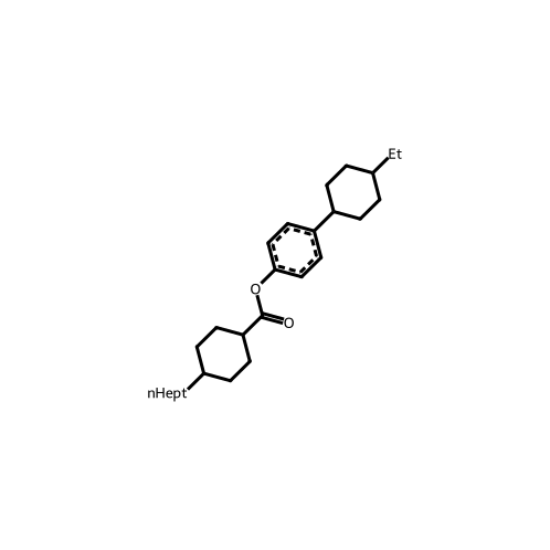 CCCCCCCC1CCC(C(=O)Oc2ccc(C3CCC(CC)CC3)cc2)CC1